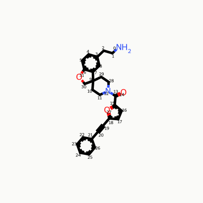 NCCc1ccc2c(c1)C1(CCN(C(=O)c3ccc(C#Cc4ccccc4)o3)CC1)CO2